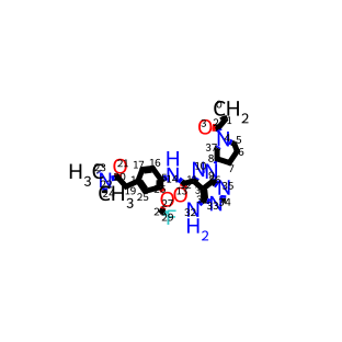 C=CC(=O)N1CCC[C@@H](n2nc(C(=O)Nc3ccc(CC(=O)N(C)C)cc3OCF)c3c(N)ncnc32)C1